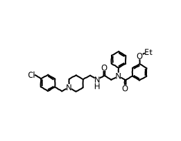 CCOc1cccc(C(=O)N(CC(=O)NCC2CCN(Cc3ccc(Cl)cc3)CC2)c2ccccc2)c1